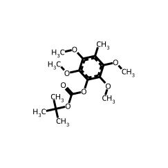 COc1c(C)c(OC)c(OC)c(OC(=O)OC(C)(C)C)c1OC